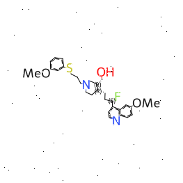 COc1cccc(SCCCN2CC[C@@H](CC[C@H](F)c3ccnc4ccc(OC)cc34)[C@@H](CO)C2)c1